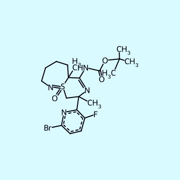 CC(C)(C)OC(=O)NC1=NC(C)(c2nc(Br)ccc2F)CS2(=O)=NCCCCC12C